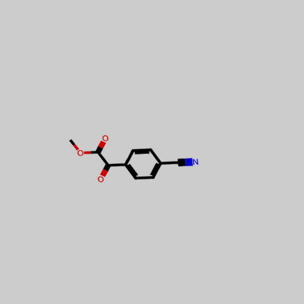 COC(=O)C(=O)c1ccc(C#N)cc1